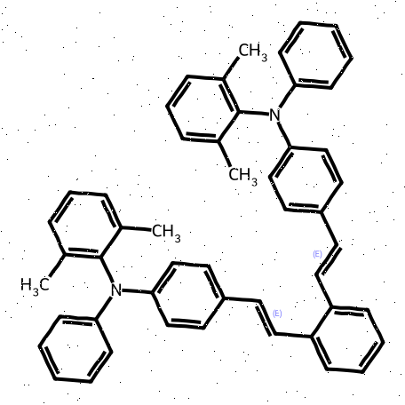 Cc1cccc(C)c1N(c1ccccc1)c1ccc(/C=C/c2ccccc2/C=C/c2ccc(N(c3ccccc3)c3c(C)cccc3C)cc2)cc1